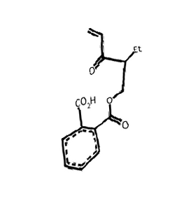 C=CC(=O)C(CC)COC(=O)c1ccccc1C(=O)O